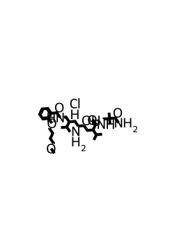 COCCCCOc1ccccc1C(=O)NCC(CC(N)C(O)CC(C(=O)NCC(C)(C)C(N)=O)C(C)C)C(C)C.Cl